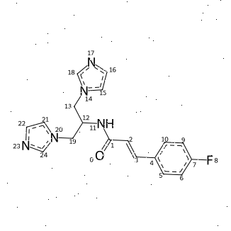 O=C(C=Cc1ccc(F)cc1)NC(Cn1ccnc1)Cn1ccnc1